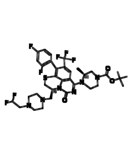 C[C@H]1CN(C(=O)OC(C)(C)C)CCN1c1nc(=O)n2c3c(c(-c4ccc(F)cc4F)c(C(F)(F)F)cc13)SC[C@@H]2CN1CCN(CC(F)F)CC1